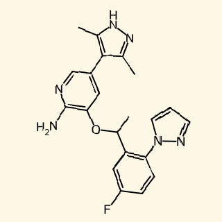 Cc1n[nH]c(C)c1-c1cnc(N)c(OC(C)c2cc(F)ccc2-n2cccn2)c1